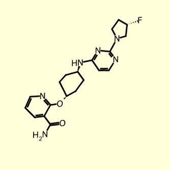 NC(=O)c1cccnc1O[C@H]1CC[C@H](Nc2ccnc(N3CC[C@H](F)C3)n2)CC1